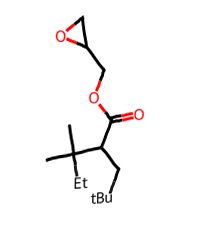 CCC(C)(C)C(CC(C)(C)C)C(=O)OCC1CO1